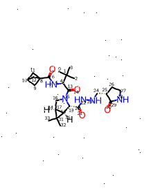 CC(C)(C)[C@H](NC(=O)C12CC(C1)C2)C(=O)N1C[C@H]2[C@@H]([C@H]1C(=O)NNC[C@@H]1CCNC1=O)C2(C)C